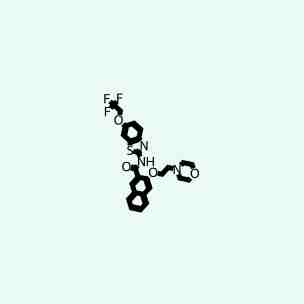 O=C(Nc1nc2ccc(OCC(F)(F)F)cc2s1)c1cc2ccccc2cc1OCCN1CCOCC1